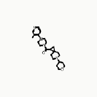 Cc1cnccc1N1CCN(C(=O)C2CC23CCN(C2CCOCC2)CC3)CC1